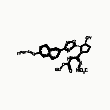 CCCCCOc1ccc2cc(-c3noc([C@@H]4[C@@H](O)CCN4/C(=N/C(=O)O)NC(=O)OC(C)(C)C)n3)ccc2c1